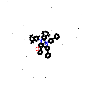 Cc1cc2c(cc1N1c3cc4c(cc3B3c5c1cc1oc6ccccc6c1c5-c1cc(-c5ccccc5)ccc1N3c1ccc(-c3ccccc3)cc1)C(C)(C)CCC4(C)C)C(C)(C)CCC2(C)C